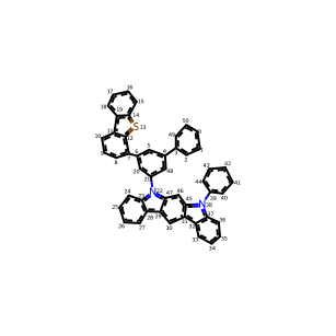 c1ccc(-c2cc(-c3cccc4c3sc3ccccc34)cc(-n3c4ccccc4c4cc5c6ccccc6n(-c6ccccc6)c5cc43)c2)cc1